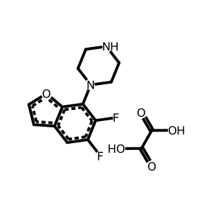 Fc1cc2ccoc2c(N2CCNCC2)c1F.O=C(O)C(=O)O